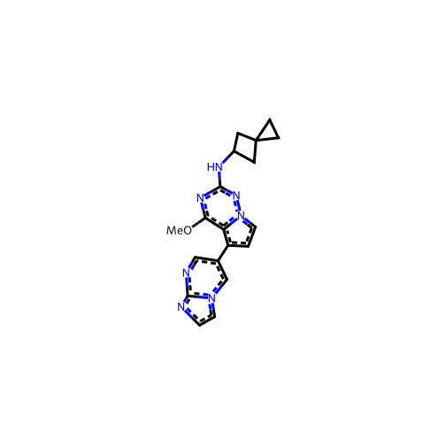 COc1nc(NC2CC3(CC3)C2)nn2ccc(-c3cnc4nccn4c3)c12